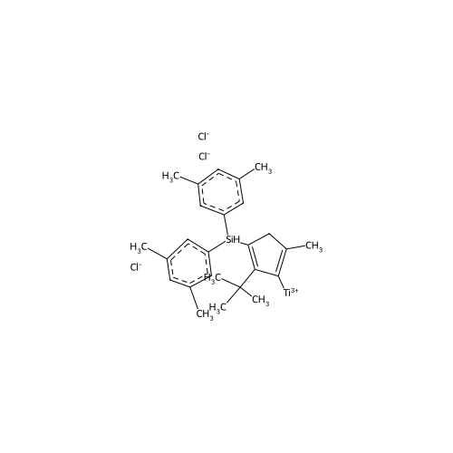 CC1=[C]([Ti+3])C(C(C)(C)C)=C([SiH](c2cc(C)cc(C)c2)c2cc(C)cc(C)c2)C1.[Cl-].[Cl-].[Cl-]